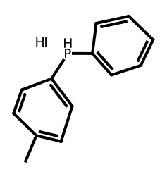 Cc1ccc(Pc2ccccc2)cc1.I